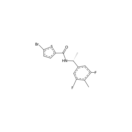 Cc1c(F)cc([C@@H](C)NC(=O)c2ccc(Br)s2)cc1F